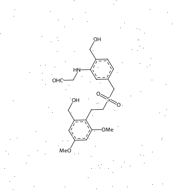 COc1cc(CO)c(CCS(=O)(=O)Cc2ccc(CO)c(NCC=O)c2)c(OC)c1